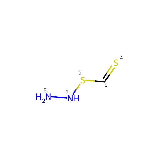 NNSC=S